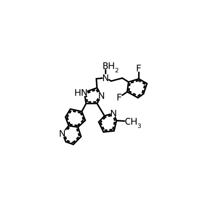 BN(CCc1c(F)cccc1F)Cc1nc(-c2cccc(C)n2)c(-c2ccc3ncccc3c2)[nH]1